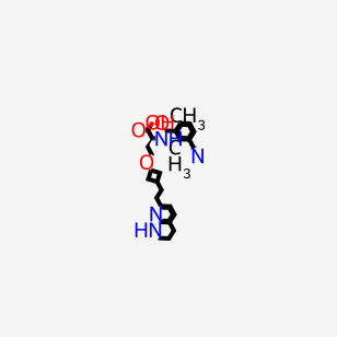 Cc1ccc(C#N)c(C)c1C(=O)N[C@@H](CCOC1CC(CCc2ccc3c(n2)NCCC3)C1)C(=O)O